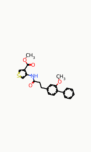 COC(=O)c1cscc1NC(=O)CCc1ccc(-c2ccccc2)c(OC)c1